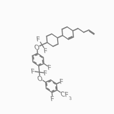 C=CCCC1C=CC(C2CCC(C(F)(F)Oc3ccc(C(F)(F)Oc4cc(F)c(C(F)(F)F)c(F)c4)c(F)c3)CC2)CC1